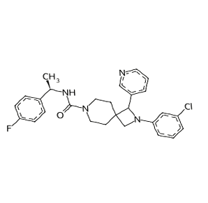 C[C@@H](NC(=O)N1CCC2(CC1)CN(c1cccc(Cl)c1)C2c1cccnc1)c1ccc(F)cc1